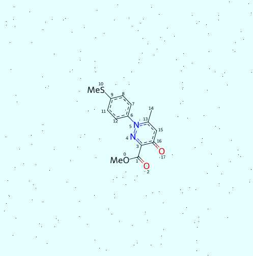 COC(=O)c1nn(-c2ccc(SC)cc2)c(C)cc1=O